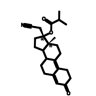 CC(C)C(=O)O[C@@]1(CC#N)CCC2C3CCC4=CC(=O)CCC4=C3CC[C@@]21C